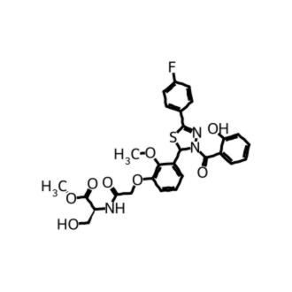 COC(=O)[C@H](CO)NC(=O)COc1cccc(C2SC(c3ccc(F)cc3)=NN2C(=O)c2ccccc2O)c1OC